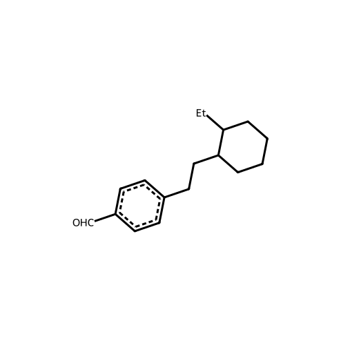 CCC1CCCCC1CCc1ccc(C=O)cc1